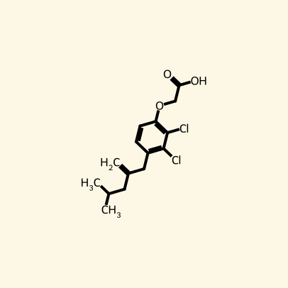 C=C(Cc1ccc(OCC(=O)O)c(Cl)c1Cl)CC(C)C